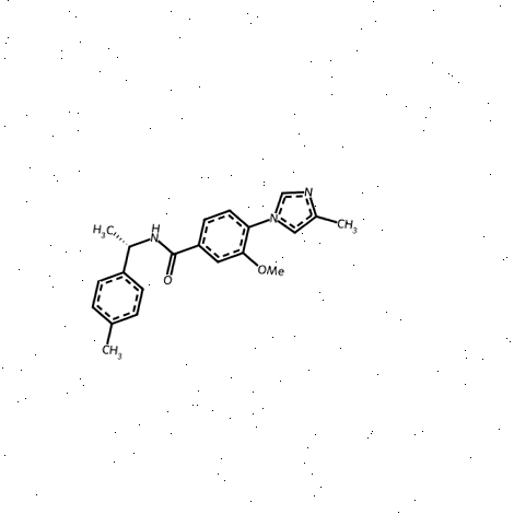 COc1cc(C(=O)N[C@@H](C)c2ccc(C)cc2)ccc1-n1cnc(C)c1